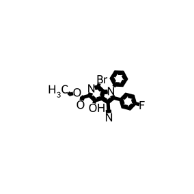 CCOC(=O)c1nc(Br)c2c(c1O)c(C#N)c(-c1ccc(F)cc1)n2-c1ccccc1